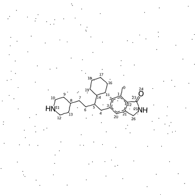 Cc1cc(CC(CCC2CCNCC2)C2CCCCC2)cc2c1C(=O)NC2